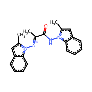 C/C(=N\n1c(C)cc2ccccc21)C(=O)Nn1c(C)cc2ccccc21